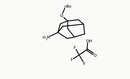 CCCCOC12CC3CC(CC(N)(C3)C1)C2.O=C(O)C(F)(F)F